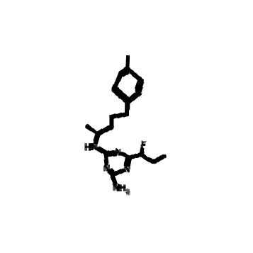 CCC(F)c1nc(N)nc(N[C@@H](C)CCCc2ccc(C)cc2)n1